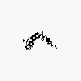 Cc1c(-c2cc3cc(NC(=O)OC4CC5(C4)CN(C)C5)ncc3cc2F)cnc2c1NCCO2